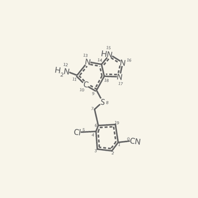 N#Cc1ccc(Cl)c(CSc2cc(N)nc3[nH]nnc23)c1